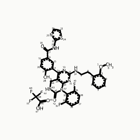 COc1ccccc1CCNc1nc(-c2cc(C(=O)Nc3nccs3)ccc2C)c2c(n1)N(c1c(F)cccc1F)C(=O)NC2.O=C(O)C(F)(F)F